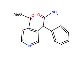 COC(=O)c1ccncc1C(C(N)=O)c1ccccc1